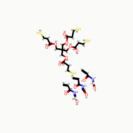 C=CC(=O)N=C=O.C=CC(=O)N=C=O.C=CC(=O)N=C=O.O=C(CCS)OCC(COC(=O)CCS)(COC(=O)CCS)COC(=O)CCS